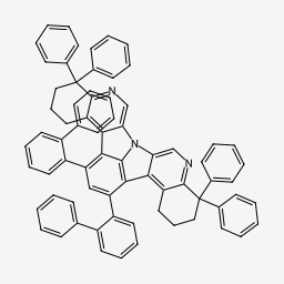 c1ccc(-c2ccccc2-c2cc(-c3ccccc3-c3ccccc3)c3c4c5c(ncc4n4c6cnc7c(c6c2c34)CCCC7(c2ccccc2)c2ccccc2)C(c2ccccc2)(c2ccccc2)CCC5)cc1